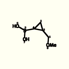 COCC1CC1B(O)O